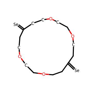 [Se]=C1CCOCCOCCC(=[Se])CCOCCOCC1